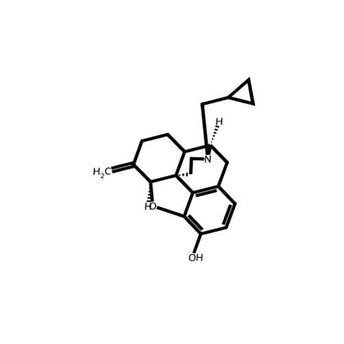 C=C1CCC2[C@H]3Cc4ccc(O)c5c4[C@@]2(CCN3CC2CC2)[C@H]1O5